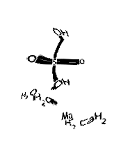 O.O.O=S(=O)(O)O.[CaH2].[MgH2]